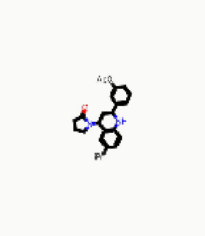 CC(=O)Oc1cccc(C2CC(N3CCCC3=O)c3cc(C(C)C)ccc3N2)c1